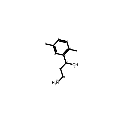 Cc1ccc(C)c(C(O)CCN)c1